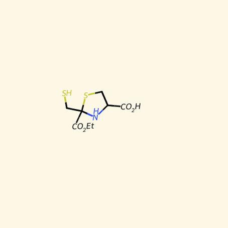 CCOC(=O)C1(CS)NC(C(=O)O)CS1